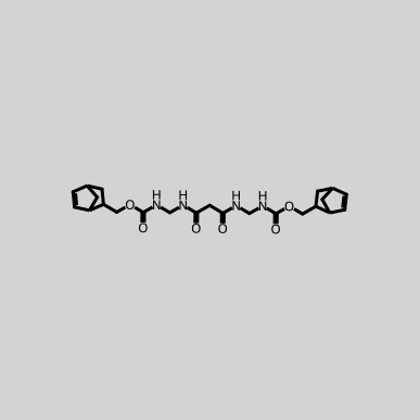 O=C(CC(=O)NCNC(=O)OCC1CC2C=CC1C2)NCNC(=O)OCC1CC2C=CC1C2